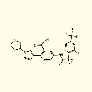 O=C(O)c1cc(NC(=O)C2(c3ccc(C(F)(F)F)cc3F)CC2)ccc1-c1cnn(C2CCOC2)c1